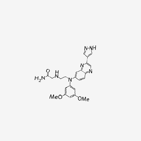 COc1cc(OC)cc(N(CCNCC(N)=O)c2ccc3ncc(-c4cn[nH]c4)nc3c2)c1